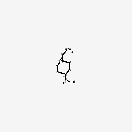 CCCC(C)C1CCN(CC(F)(F)F)CC1